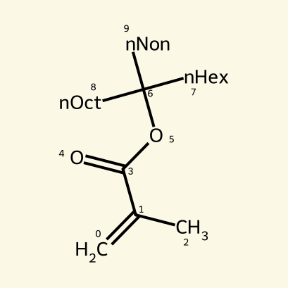 C=C(C)C(=O)OC(CCCCCC)(CCCCCCCC)CCCCCCCCC